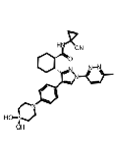 Cc1ccc(-n2cc(-c3ccc(N4CCS(O)(O)CC4)cc3)c([C@@H]3CCCC[C@H]3C(=O)NC3(C#N)CC3)n2)nn1